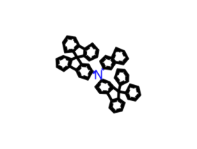 c1ccc(C2(c3ccccc3)c3ccccc3-c3ccc(N(c4ccc5c(c4)C4(c6ccccc6-c6ccccc64)c4ccccc4-5)c4ccc5ccccc5c4)cc32)cc1